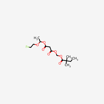 CCC(C)(C)C(=O)OCOC(=O)CC(=O)OC(C)OCCF